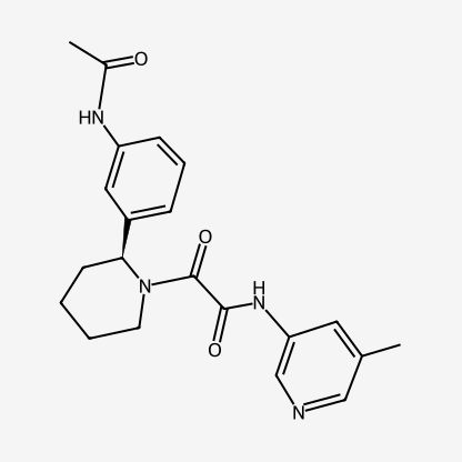 CC(=O)Nc1cccc([C@@H]2CCCCN2C(=O)C(=O)Nc2cncc(C)c2)c1